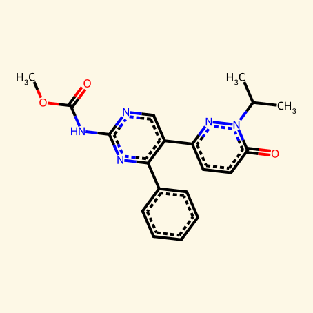 COC(=O)Nc1ncc(-c2ccc(=O)n(C(C)C)n2)c(-c2ccccc2)n1